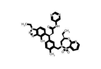 CC[C@@H]1CN(Cc2cc([C@H](CC(=O)Nc3cncnc3)c3ccc4c(nnn4CC)c3C)ccc2C)S(=O)(=O)c2cccnc2O1